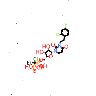 CCC(Cl)(P(O)OC[C@H]1O[C@@H](n2ccc(=O)n(CCc3ccc(F)cc3F)c2=O)[C@@H](O)[C@H]1O)P(=O)(O)O